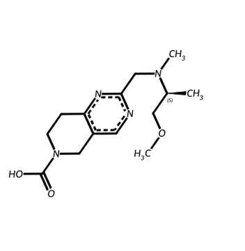 COC[C@H](C)N(C)Cc1ncc2c(n1)CCN(C(=O)O)C2